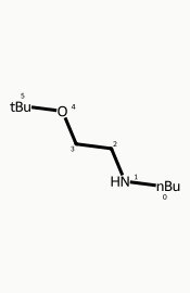 CCCCNCCOC(C)(C)C